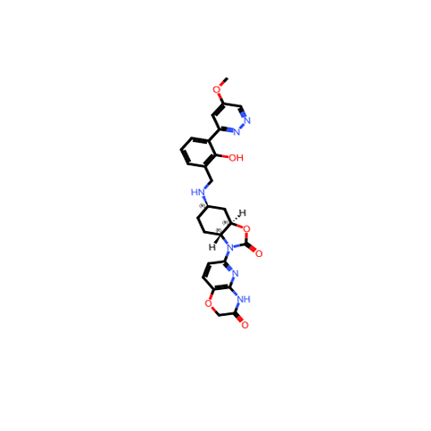 COc1cnnc(-c2cccc(CN[C@@H]3CC[C@@H]4[C@@H](C3)OC(=O)N4c3ccc4c(n3)NC(=O)CO4)c2O)c1